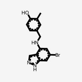 Cc1cc(CNc2cc(Br)cc3[nH]ncc23)ccc1O